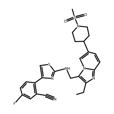 CCc1nc2ccc(C3CCN(S(C)(=O)=O)CC3)cn2c1CNc1nc(-c2ccc(F)cc2C#N)cs1